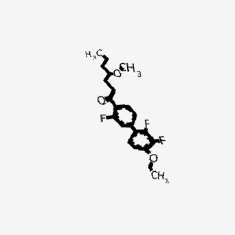 CCCC(CCC(=O)c1ccc(-c2ccc(OCC)c(F)c2F)cc1F)OC